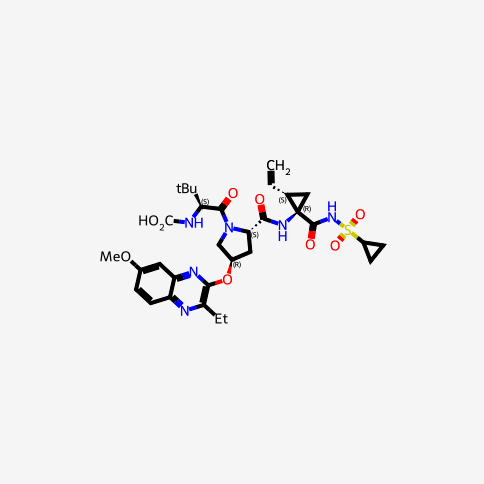 C=C[C@@H]1C[C@]1(NC(=O)[C@@H]1C[C@@H](Oc2nc3cc(OC)ccc3nc2CC)CN1C(=O)[C@@H](NC(=O)O)C(C)(C)C)C(=O)NS(=O)(=O)C1CC1